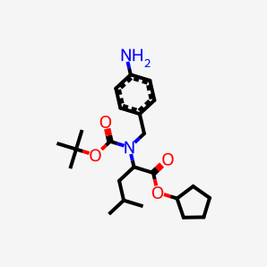 CC(C)CC(C(=O)OC1CCCC1)N(Cc1ccc(N)cc1)C(=O)OC(C)(C)C